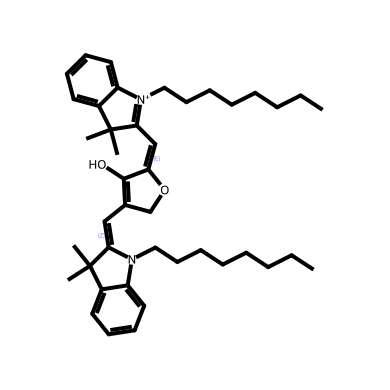 CCCCCCCCN1/C(=C\C2=C(O)C(=C\C3=[N+](CCCCCCCC)c4ccccc4C3(C)C)/OC2)C(C)(C)c2ccccc21